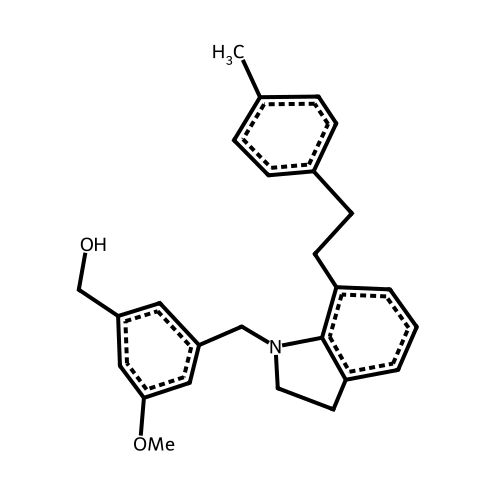 COc1cc(CO)cc(CN2CCc3cccc(CCc4ccc(C)cc4)c32)c1